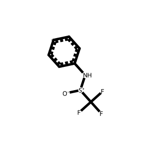 [O-][S+](Nc1cc[c]cc1)C(F)(F)F